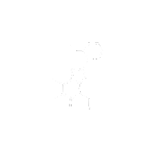 CCOc1ccccc1-c1cc2c([nH]1)c(=O)n(C)c(=O)n2CC(C)C